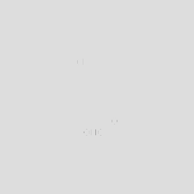 O=CC1CC(c2ccc(CCl)cc2)CCO1